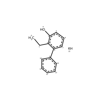 CCc1c(O)cccc1-c1ccccc1.[KH]